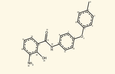 Cc1ccc(Oc2ccc(NC(=O)c3cccc(N)c3O)cc2)cc1